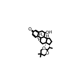 CC(C1OCC(C)(C)CO1)[C@H]1CC[C@H]2[C@@H]3C(O)CC4=CC(=O)C=C[C@]4(C)[C@H]3CC[C@]12C